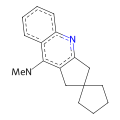 CNc1c2c(nc3ccccc13)CC1(CCCC1)C2